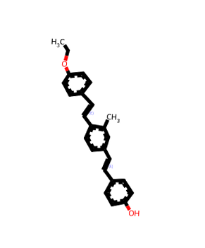 CCOc1ccc(/C=C/c2ccc(/C=C/c3ccc(O)cc3)cc2C)cc1